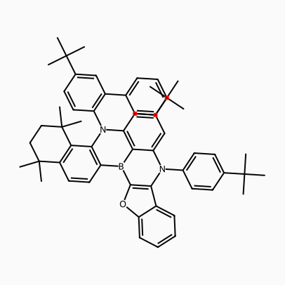 CC(C)(C)c1ccc(N2c3cc(C(C)(C)C)cc4c3B(c3ccc5c(c3N4c3ccc(C(C)(C)C)cc3-c3ccccc3)C(C)(C)CCC5(C)C)c3oc4ccccc4c32)cc1